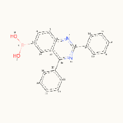 OB(O)c1ccc2nc(-c3ccccc3)nc(-c3ccccc3)c2c1